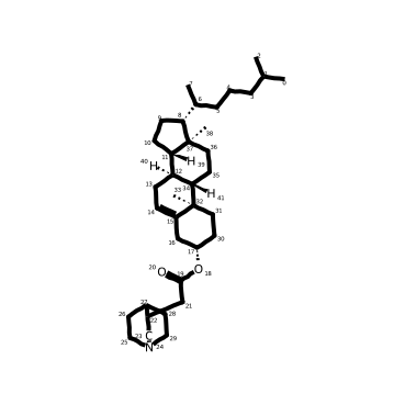 CC(C)CCCC(C)[C@H]1CC[C@H]2[C@@H]3CC=C4C[C@@H](OC(=O)CC5CN6CCC5CC6)CC[C@]4(C)[C@H]3CC[C@]12C